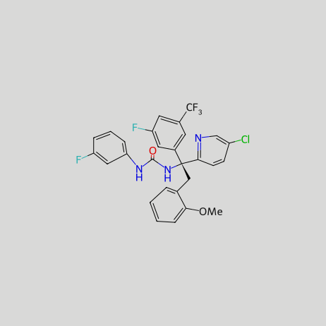 COc1ccccc1C[C@@](NC(=O)Nc1cccc(F)c1)(c1cc(F)cc(C(F)(F)F)c1)c1ccc(Cl)cn1